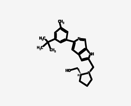 Cc1cc(-c2cc3cc(CN4CCC[C@@H]4CO)[nH]c3cn2)cc(C(C)(C)C)c1